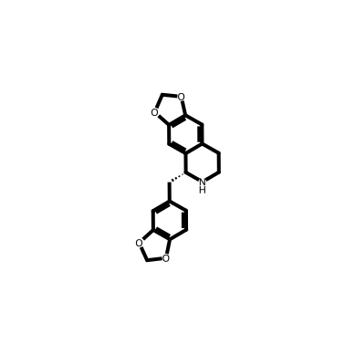 c1cc2c(cc1C[C@H]1NCCc3cc4c(cc31)OCO4)OCO2